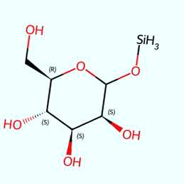 OC[C@H]1OC(O[SiH3])[C@@H](O)[C@@H](O)[C@@H]1O